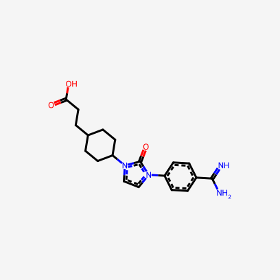 N=C(N)c1ccc(-n2ccn(C3CCC(CCC(=O)O)CC3)c2=O)cc1